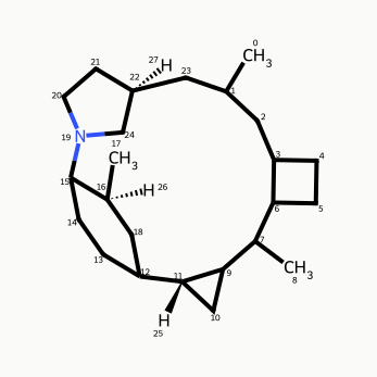 CC1CC2CCC2C(C)C2C[C@@H]2C2CCC([C@@H](C)C2)N2CC[C@@H](C1)C2